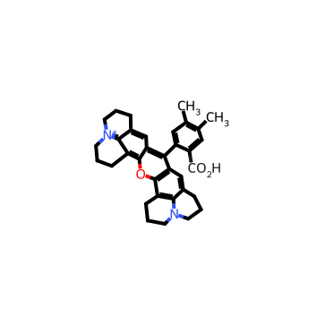 Cc1cc(C(=O)O)c(C2=c3cc4c5c(c3Oc3c2cc2c6c3CCCN6CCC2)CCC[N+]=5CCC4)cc1C